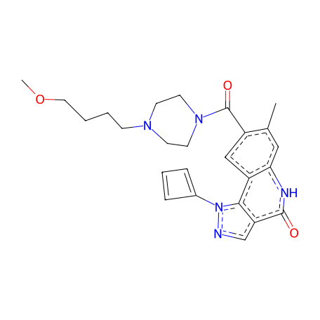 COCCCCN1CCN(C(=O)c2cc3c(cc2C)[nH]c(=O)c2cnn(C4=CC=C4)c23)CC1